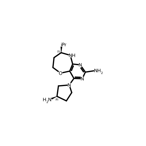 CC(C)[C@@H]1CCOc2c(nc(N)nc2N2CC[C@@H](N)C2)N1